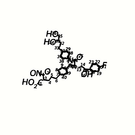 O=NC(=O)C(CCCc1ccc([C@@H]2[C@@H](CC[C@H](O)c3ccc(F)cc3)C(=O)N2c2ccc(CCC(O)CO)cc2)cc1)C(=O)O